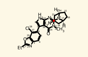 CCc1nc2ccc(-c3c[nH]c4nc(N5[C@@H]6CC[C@H]5C[C@@H](N)C6)n(C)c(=O)c34)c(Cl)c2o1